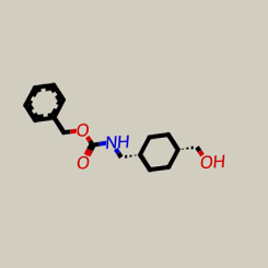 O=C(NC[C@H]1CC[C@@H](CO)CC1)OCc1ccccc1